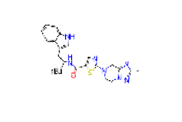 CCCCC(Cc1c[nH]c2ccccc12)NC(=O)c1cnc(N2CCn3nc(C)nc3C2)s1